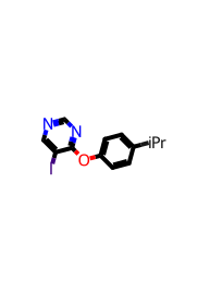 CC(C)c1ccc(Oc2ncncc2I)cc1